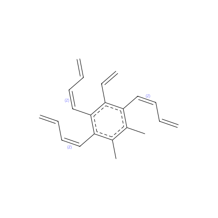 C=C/C=C\c1c(C)c(C)c(/C=C\C=C)c(/C=C\C=C)c1C=C